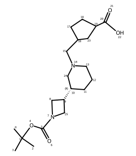 CC(C)(C)OC(=O)N1CC([C@H]2CCCN(CC3CCC(C(=O)O)C3)C2)C1